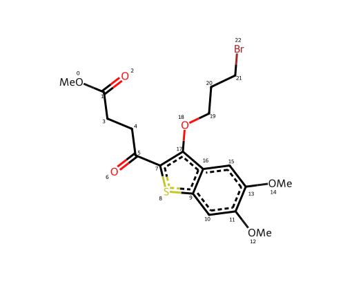 COC(=O)CCC(=O)c1sc2cc(OC)c(OC)cc2c1OCCCBr